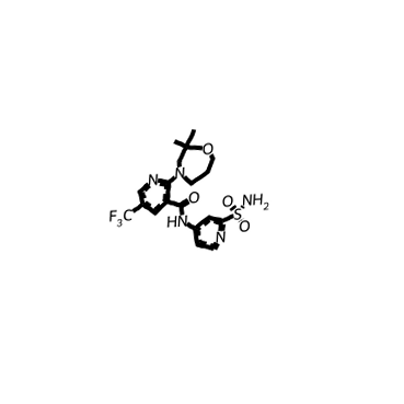 CC1(C)CN(c2ncc(C(F)(F)F)cc2C(=O)Nc2ccnc(S(N)(=O)=O)c2)CCCO1